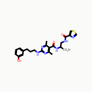 Cc1nc(NCCCc2cccc(O)c2)nc(C)c1C(=O)NC(CNC(=O)c1cscn1)C(=O)O